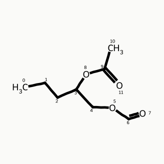 CCCC(COC=O)OC(C)=O